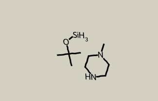 CC(C)(C)O[SiH3].CN1CCNCC1